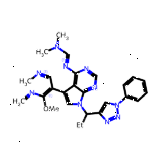 C=N/C(OC)=C(\C=N/C)c1cn(C(CC)c2cn(-c3ccccc3)nn2)c2ncnc(/N=C/N(C)C)c12